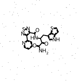 NC(=O)C(=O)C(Cc1c[nH]c2ccsc12)NC(=O)c1nsnc1-c1ccccn1